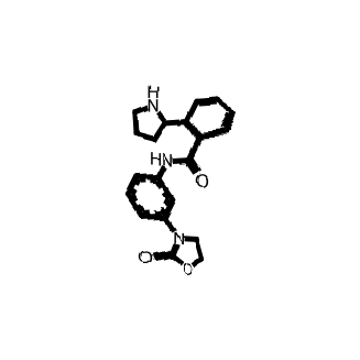 O=C(Nc1cccc(N2CCOC2=O)c1)C1C=CC=CC1C1CCCN1